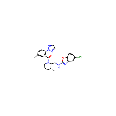 Cc1ccc(-n2nccn2)c(C(=O)N2CCC[C@@H](C)C2CNc2nc3cc(Cl)ccc3o2)c1